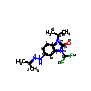 CC(C)=NNc1ccc2c(c1)n(C(F)F)c(=O)n2C(C)C